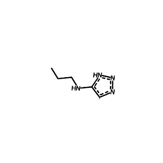 CCCNc1[c]nn[nH]1